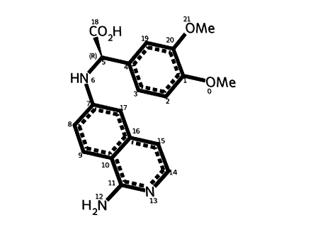 COc1ccc([C@@H](Nc2ccc3c(N)nccc3c2)C(=O)O)cc1OC